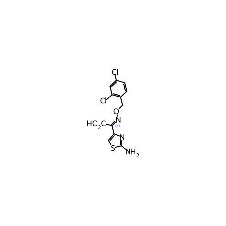 Nc1nc(/C(=N/OCc2ccc(Cl)cc2Cl)C(=O)O)cs1